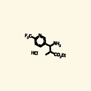 CCOC(=O)C(C)C(N)c1ccc(C(F)(F)F)nc1.Cl